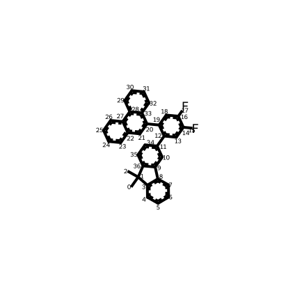 CC1(C)c2ccccc2-c2cc(-c3cc(F)c(F)cc3-c3cc4ccccc4c4ccccc34)ccc21